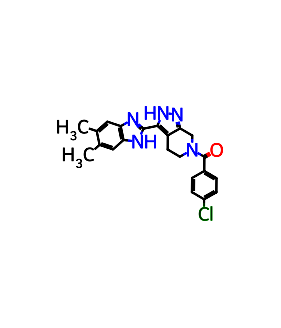 Cc1cc2nc(-c3[nH]nc4c3CCN(C(=O)c3ccc(Cl)cc3)C4)[nH]c2cc1C